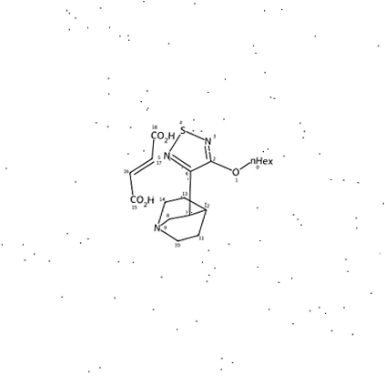 CCCCCCOc1nsnc1C1CN2CCC1CC2.O=C(O)/C=C/C(=O)O